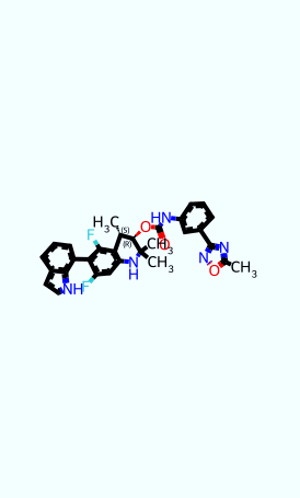 Cc1nc(-c2cccc(NC(=O)O[C@@H]3[C@@H](C)c4c(cc(F)c(-c5cccc6cc[nH]c56)c4F)NC3(C)C)c2)no1